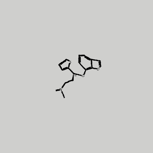 CN(C)CC[C@H](Oc1cccc2ccoc12)c1cccs1